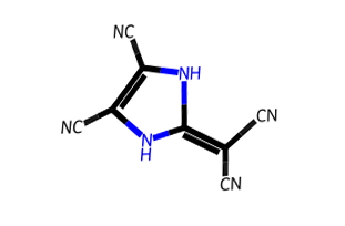 N#CC(C#N)=C1NC(C#N)=C(C#N)N1